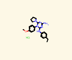 CCc1ccc(NC2N=C(N)N=C(N3CCCC3)N2c2ccc(OC)cc2)cc1.Cl